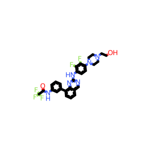 O=C(Nc1cccc(-c2cccc3cnc(Nc4ccc(N5CCN(CCO)CC5)c(F)c4F)nc23)c1)C(F)(F)F